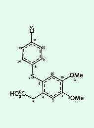 COc1cc(CC(=O)O)c(Sc2ccc(Cl)cc2)cc1OC